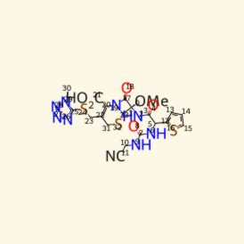 CO[C@]1(NC(=O)C(NC(=O)NCC#N)c2cccs2)C(=O)N2C(C(=O)O)=C(CSc3nnnn3C)CSC21